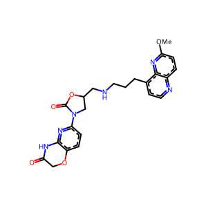 COc1ccc2nccc(CCCNCC3CN(c4ccc5c(n4)NC(=O)CO5)C(=O)O3)c2n1